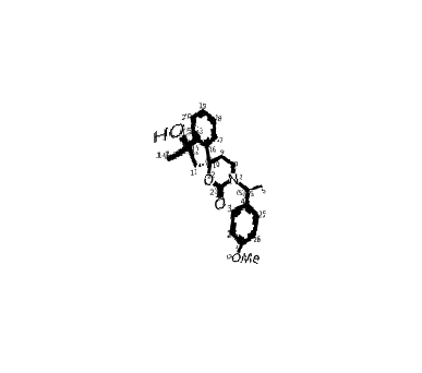 COc1ccc([C@H](C)N2CC[C@](CC(C)(C)O)(c3ccccc3)OC2=O)cc1